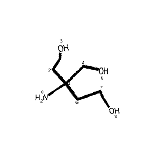 NC(CO)(CO)CCO